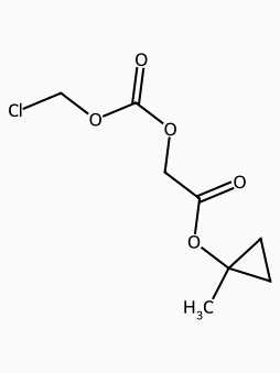 CC1(OC(=O)COC(=O)OCCl)CC1